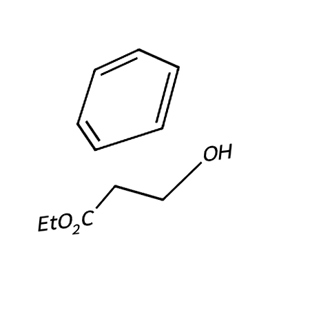 CCOC(=O)CCO.c1ccccc1